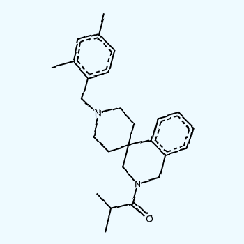 Cc1ccc(CN2CCC3(CC2)CN(C(=O)C(C)C)Cc2ccccc23)c(C)c1